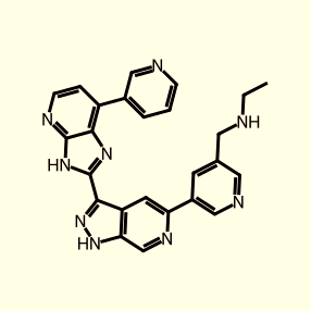 CCNCc1cncc(-c2cc3c(-c4nc5c(-c6cccnc6)ccnc5[nH]4)n[nH]c3cn2)c1